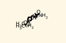 CC(C)(C)OC(=O)N1CCC(Cn2cc(C(N)=O)cn2)CC1